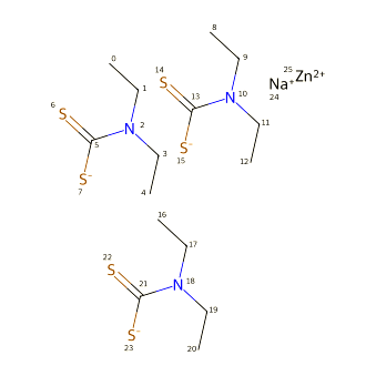 CCN(CC)C(=S)[S-].CCN(CC)C(=S)[S-].CCN(CC)C(=S)[S-].[Na+].[Zn+2]